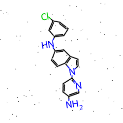 Nc1ccc(-n2ccc3cc(Nc4cccc(Cl)c4)ccc32)nc1